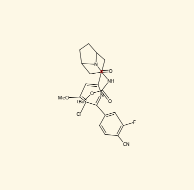 COc1cc(C(=O)N2C3CCC2CC(NC(=O)OC(C)(C)C)C3)nc(-c2ccc(C#N)c(F)c2)c1Cl